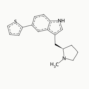 CN1CCC[C@@H]1Cc1c[nH]c2ccc(-c3cccs3)cc12